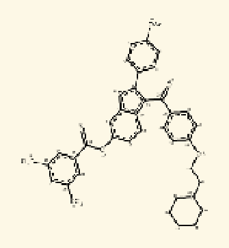 CC(=O)Oc1ccc(-c2sc3cc(OC(=O)c4cc(C(Cl)(Cl)Cl)cc(C(Cl)(Cl)Cl)c4)ccc3c2C(=O)c2ccc(OCCN3CCCCC3)cc2)cc1